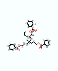 CCCCC(CCCOC(=O)c1ccccc1)(CCCOC(=O)c1ccccc1)CCCOC(=O)c1ccccc1